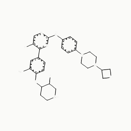 N#Cc1cc(-c2nc(Nc3ccc(N4CCN(C5COC5)CC4)cc3)ncc2F)ccc1OC1CCNCC1F